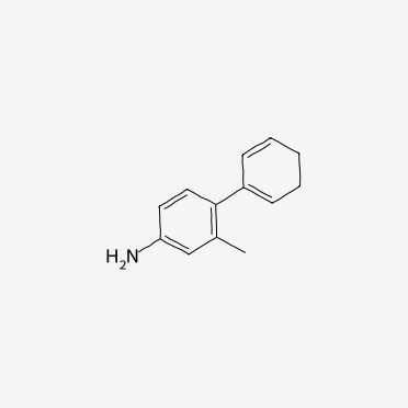 Cc1cc(N)ccc1C1=CCCC=C1